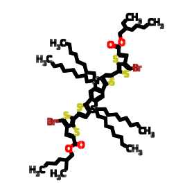 CCCCCCCC[Si]1(CCCCCCCC)c2cc3c(cc2-c2sc(-c4sc(Br)c5cc(C(=O)OCC(CC)CCCC)sc45)cc21)[Si](CCCCCCCC)(CCCCCCCC)c1cc(-c2sc(Br)c4cc(C(=O)OCC(CC)CCCC)sc24)sc1-3